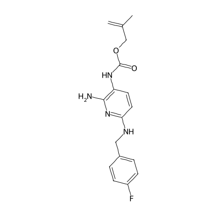 C=C(C)COC(=O)Nc1ccc(NCc2ccc(F)cc2)nc1N